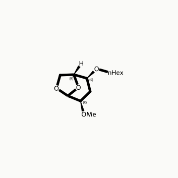 CCCCCCO[C@H]1C[C@@H](OC)C2OC[C@H]1O2